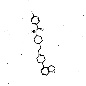 O=C(N[C@H]1CC[C@H](CCN2CCC(c3cccc4c3CCO4)CC2)CC1)c1ccc(Cl)cc1